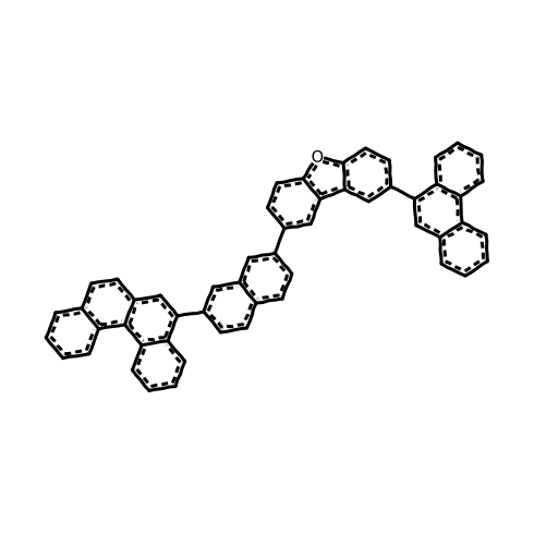 c1ccc2c(c1)cc(-c1ccc3oc4ccc(-c5ccc6ccc(-c7cc8ccc9ccccc9c8c8ccccc78)cc6c5)cc4c3c1)c1ccccc12